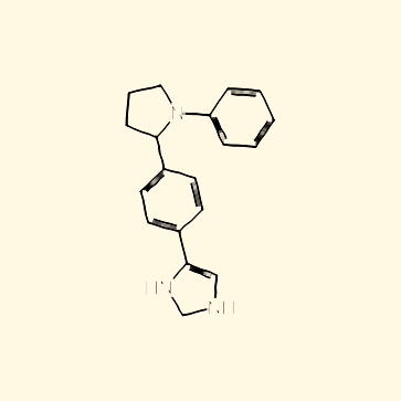 C1=C(c2ccc(C3CCCN3c3ccccc3)cc2)NCN1